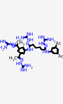 CC(=O)c1cc(NC(CCCCC(=NNC(=N)N)Nc2cc(C(C)=NNC(=N)N)cc(C(C)=NNC(=N)N)c2)=NNC(=N)N)cc(C(C)=O)c1